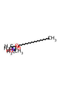 CCCCCCCCCCCCCCCCCCCCCC(=O)OC1CC(C)(C)N(O)C(C)(C)C1